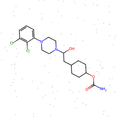 NC(=O)OC1CCC(CC(O)N2CCN(c3cccc(Cl)c3Cl)CC2)CC1